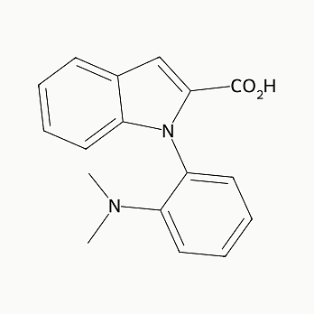 CN(C)c1ccccc1-n1c(C(=O)O)cc2ccccc21